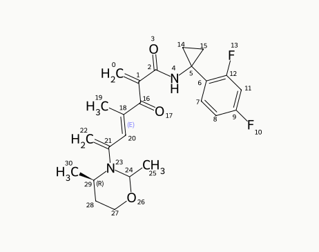 C=C(C(=O)NC1(c2ccc(F)cc2F)CC1)C(=O)/C(C)=C/C(=C)N1C(C)OCC[C@H]1C